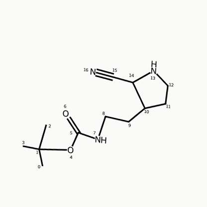 CC(C)(C)OC(=O)NCCC1CCNC1C#N